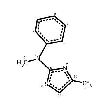 CN(c1c[c]ccc1)c1nc(C(F)(F)F)cs1